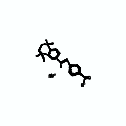 CC(=Cc1ccc(S(=O)[O-])cc1)c1ccc2c(c1)C(C)(C)CCC2(C)C.[Na+]